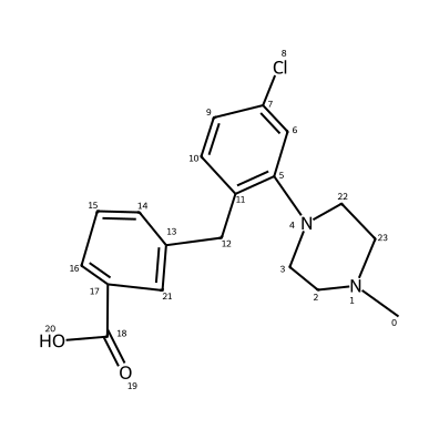 CN1CCN(c2cc(Cl)ccc2Cc2cccc(C(=O)O)c2)CC1